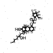 CCCCC[C@@H](O)CC[C@@H]1[C@H]2Cc3cccc(OCC(=O)O[C@@H]4C[C@@H](C)C(C)(C)[C@@]4(C)CC)c3C[C@H]2C[C@H]1O